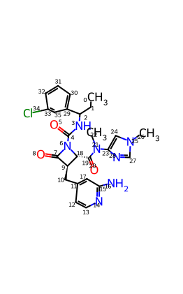 CCC(NC(=O)N1C(=O)[C@H](Cc2ccnc(N)c2)[C@H]1C(=O)N(C)c1cn(C)cn1)c1cccc(Cl)c1